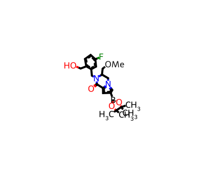 COCC1Cn2cc(B3OC(C)(C)C(C)(C)O3)cc2C(=O)N1Cc1cc(F)ccc1CO